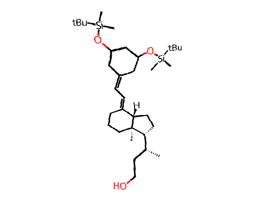 C[C@H](CCO)[C@H]1CC[C@H]2/C(=C/C=C3CC(O[Si](C)(C)C(C)(C)C)CC(O[Si](C)(C)C(C)(C)C)C3)CCC[C@]12C